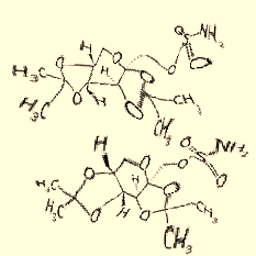 CC1(C)O[C@@H]2[C@@H](CO[C@@]3(COS(N)(=O)=O)OC(C)(C)O[C@@H]23)O1.CC1(C)O[C@@H]2[C@@H](CO[C@@]3(COS(N)(=O)=O)OC(C)(C)O[C@@H]23)O1